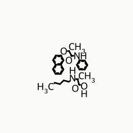 CC(Oc1ccc2ccccc2c1)C(=O)Nc1ccccc1.CCCCCNC(C)C(=O)O